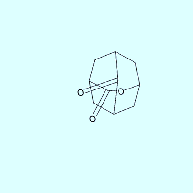 O=C1OC2CC3CC1CC(C2)C3=O